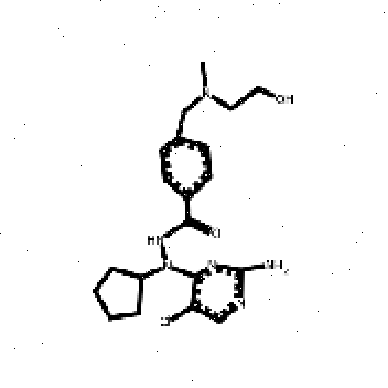 CN(CCO)Cc1ccc(C(=O)NN(c2nc(N)ncc2Cl)C2CCCC2)cc1